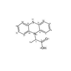 CC(C(=O)O)N1c2ccccc2Sc2ccccc21